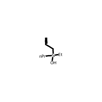 C=CC[Si](O)(CC)CCC